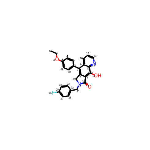 CCOc1ccc(-c2c3c(c(O)c4ncccc24)C(=O)N(Cc2ccc(F)cc2)C3)cc1